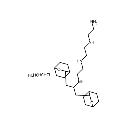 Cl.Cl.Cl.Cl.NCCNCCNCCNC(CC1CC2CCC1CC2)CC1CC2CCC1CC2